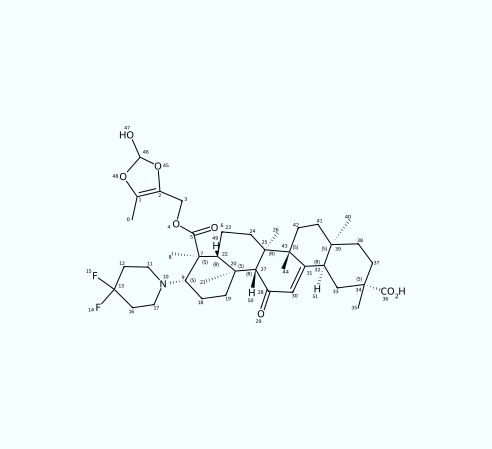 CC1=C(COC(=O)[C@]2(C)[C@@H](N3CCC(F)(F)CC3)CC[C@@]3(C)[C@H]2CC[C@]2(C)[C@@H]3C(=O)C=C3[C@@H]4C[C@@](C)(C(=O)O)CC[C@]4(C)CC[C@]32C)OC(O)O1